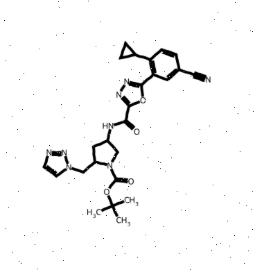 CC(C)(C)OC(=O)N1CC(NC(=O)c2nnc(-c3cc(C#N)ccc3C3CC3)o2)CC1Cn1ccnn1